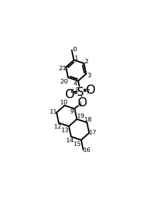 Cc1ccc(S(=O)(=O)OC2CCCC3CC(C)CCC32)cc1